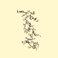 C=C1/C(=C\C=C2/CCC[C@]3(C)C([C@@H](C)C/C=C/C(C)(CC)CC)=CC[C@@H]23)C[C@@H](O)C[C@@H]1F